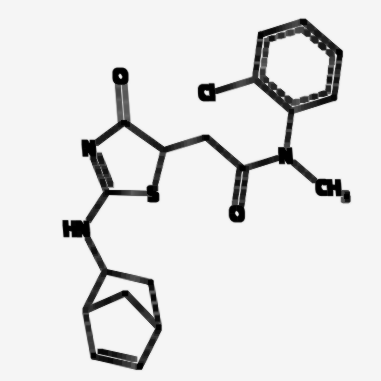 CN(C(=O)CC1SC(NC2CC3C=CC2C3)=NC1=O)c1ccccc1Cl